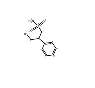 NS(=O)(=O)CC(CBr)c1ccccc1